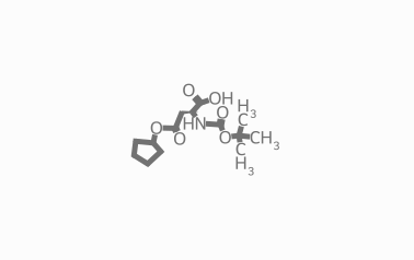 CC(C)(C)OC(=O)N[C@@H](CC(=O)OC1CCCC1)C(=O)O